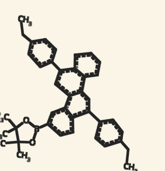 CCc1ccc(-c2cc3c4cc(B5OC(C)(C)C(C)(C)O5)ccc4c(-c4ccc(CC)cc4)cc3c3ccccc23)cc1